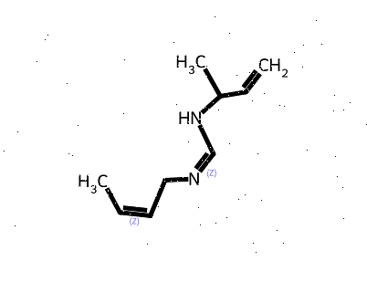 C=CC(C)N/C=N\C/C=C\C